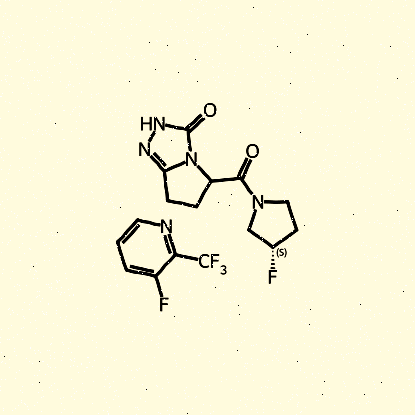 Fc1cccnc1C(F)(F)F.O=C(C1CCc2n[nH]c(=O)n21)N1CC[C@H](F)C1